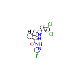 CC1(c2sc(C(=O)Nc3ccc(F)cn3)c3c2CCCC3)CC(c2cc(Cl)cc(Cl)c2)(C(F)(F)F)CN1